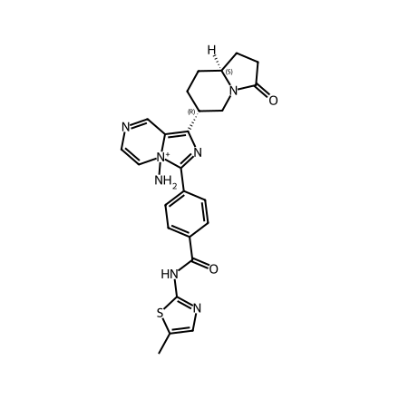 Cc1cnc(NC(=O)c2ccc(C3=NC([C@@H]4CC[C@H]5CCC(=O)N5C4)=C4C=NC=C[N+]34N)cc2)s1